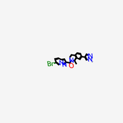 CC1c2cc(-c3cnn(C)c3)ccc2CCN1C(=O)c1cc2ccc(Br)cn2n1